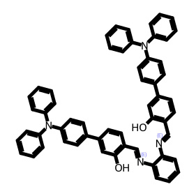 Oc1cc(-c2ccc(N(c3ccccc3)c3ccccc3)cc2)ccc1/C=N/c1ccccc1/N=C/c1ccc(-c2ccc(N(c3ccccc3)c3ccccc3)cc2)cc1O